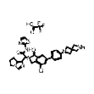 O=C(Nc1nccs1)C(c1ncn2c1CCC2)N1Cc2c(Cl)cc(-c3ccc(N4CC5(CNC5)C4)cc3)cc2C1=O.O=C(O)C(F)(F)F